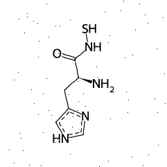 N[C@@H](Cc1c[nH]cn1)C(=O)NS